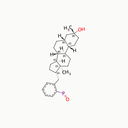 C[C@@]1(O)CC[C@H]2[C@H](CC[C@@H]3[C@@H]2CC[C@@]2(C)[C@H](Cc4ccccc4P=O)CC[C@@H]32)C1